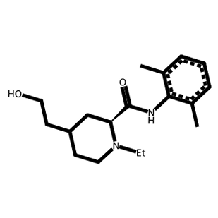 CCN1CCC(CCO)C[C@H]1C(=O)Nc1c(C)cccc1C